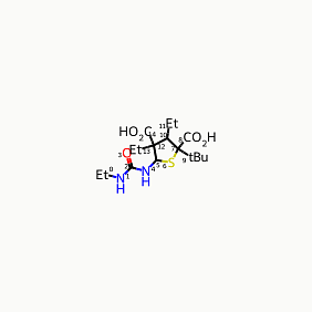 CCNC(=O)NC1SC(C(=O)O)(C(C)(C)C)C(CC)C1(CC)C(=O)O